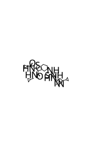 Cn1nc(C2CC2)cc1NNC(=S)N[C@H]1CCc2sc(NC(=O)C3CC3)c(C(=O)NCC3CC3)c2C1